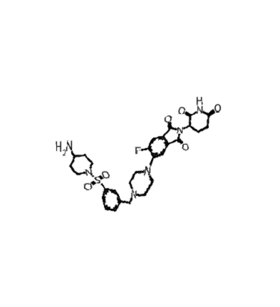 NC1CCN(S(=O)(=O)c2cccc(CN3CCN(c4cc5c(cc4F)C(=O)N(C4CCC(=O)NC4=O)C5=O)CC3)c2)CC1